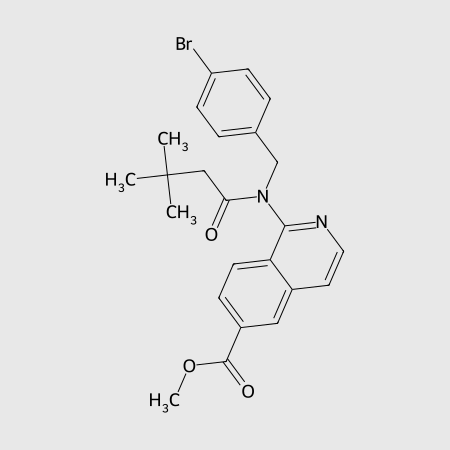 COC(=O)c1ccc2c(N(Cc3ccc(Br)cc3)C(=O)CC(C)(C)C)nccc2c1